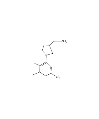 CC1=C(N2CCC(CN)C2)C=C(C(F)(F)F)CC1C